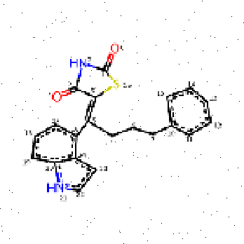 O=C1NC(=O)C(=C(CCCc2ccccc2)c2cccc3[nH]ccc23)S1